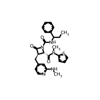 CCC(NC(=O)N1C(=O)[C@H](Cc2ccnc(NC)c2)[C@H]1C(=O)N(C)c1cccs1)c1ccccc1